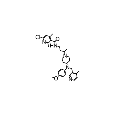 COc1ccc(N(Cc2cnccc2C)C2CCN(C(C)CCNC(=O)c3c(C)cc(Cl)nc3C)CC2)cc1